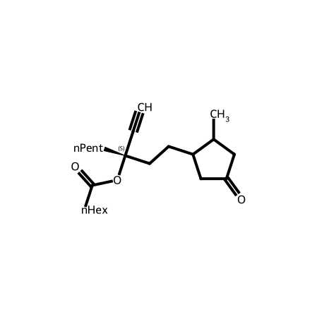 C#C[C@](CCCCC)(CCC1CC(=O)CC1C)OC(=O)CCCCCC